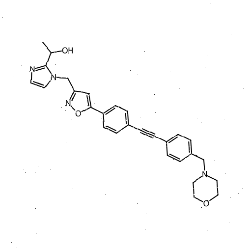 CC(O)c1nccn1Cc1cc(-c2ccc(C#Cc3ccc(CN4CCOCC4)cc3)cc2)on1